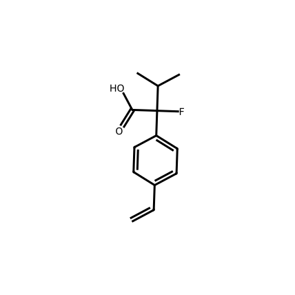 C=Cc1ccc(C(F)(C(=O)O)C(C)C)cc1